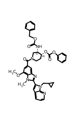 COc1cc(C(=O)N2CC[C@@H](OC(=O)Oc3ccccc3)[C@@H](NC(=O)OCc3ccccc3)C2)cc2nc(-c3cc4cccnc4n3CC3CC3)n(C)c12